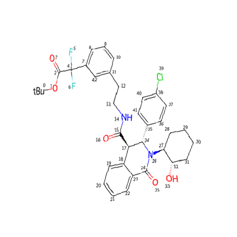 CC(C)(C)OC(=O)C(F)(F)c1cccc(CCNC(=O)[C@@H]2c3ccccc3C(=O)N([C@H]3CCCC[C@@H]3O)[C@H]2c2ccc(Cl)cc2)c1